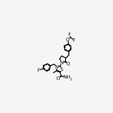 CC1=C(C(N)=O)SC(N2CCC(Cc3ccc(OC(F)F)cc3)C2=O)N1Cc1ccc(F)cc1